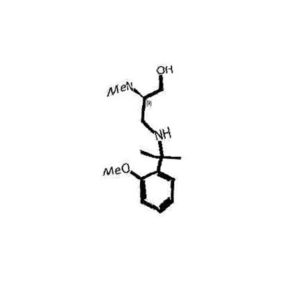 CN[C@@H](CO)CNC(C)(C)c1ccccc1OC